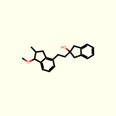 COC1c2cccc(CCC3(O)Cc4ccccc4C3)c2CC1C